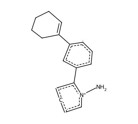 N[n+]1ccccc1-c1cc[c]c(C2=CCCCC2)c1